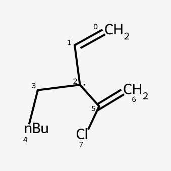 C=C[C](CCCCC)C(=C)Cl